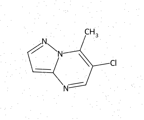 Cc1c(Cl)cnc2ccnn12